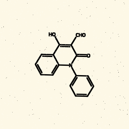 O=Cc1c(O)c2ccccc2n(-c2ccccc2)c1=O